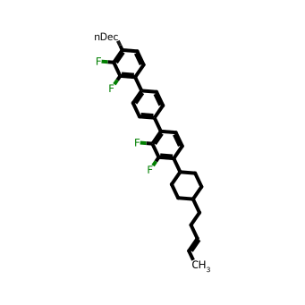 C/C=C/CCC1CCC(c2ccc(-c3ccc(-c4ccc(CCCCCCCCCC)c(F)c4F)cc3)c(F)c2F)CC1